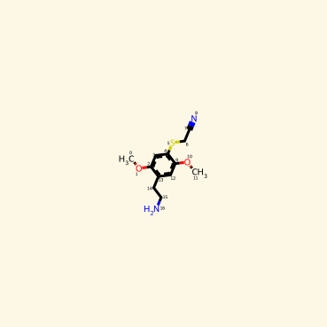 COc1cc(SCC#N)c(OC)cc1CCN